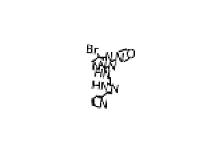 Brc1cnn2c(NCc3ncc(-c4ccccn4)[nH]3)nc(N3CCOCC3)nc12